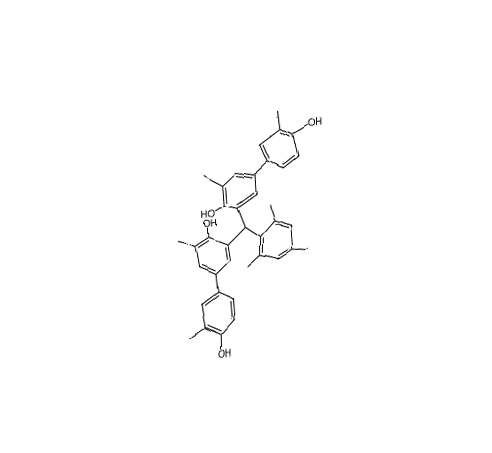 Cc1cc(C)c(C(c2cc(-c3ccc(O)c(C)c3)cc(C)c2O)c2cc(-c3ccc(O)c(C)c3)cc(C)c2O)c(C)c1